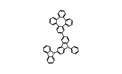 c1ccc(-n2c3ccc(-c4ccc5c(c4)-c4ccccc4-c4ccccc4-c4ccccc4-5)cc3c3cc(-n4c5ccccc5c5ccccc54)ccc32)cc1